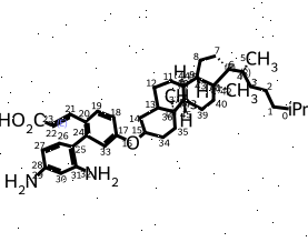 CC(C)CCC[C@@H](C)[C@H]1CC[C@H]2[C@@H]3CCC4CC(Oc5ccc(/C=C/C(=O)O)c(-c6ccc(N)cc6N)c5)CC[C@]4(C)[C@H]3CC[C@]12C